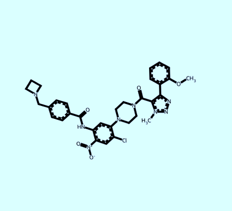 COc1ccccc1-c1nnn(C)c1C(=O)N1CCN(c2cc(NC(=O)c3ccc(CN4CCC4)cc3)c([N+](=O)[O-])cc2Cl)CC1